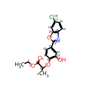 CCOC(=O)C(C)Oc1ccc(-c2nc3ccc(Cl)cc3o2)cc1O